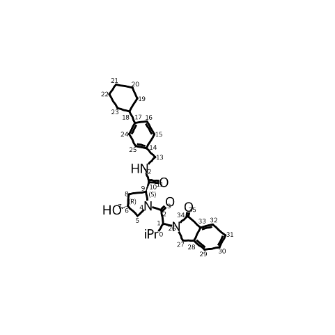 CC(C)C(C(=O)N1C[C@H](O)C[C@H]1C(=O)NCc1ccc(C2CCCCC2)cc1)N1Cc2ccccc2C1=O